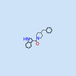 O=C(c1c[nH]c2ccccc12)N1CCC(Cc2ccccc2)CC1